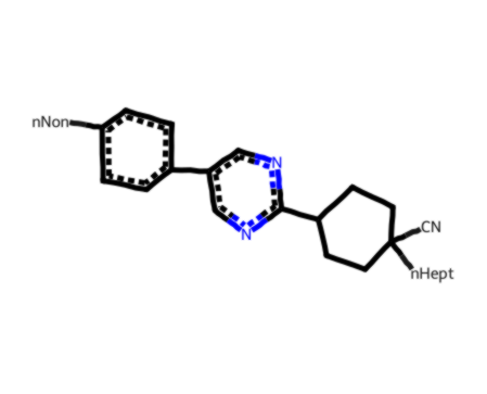 CCCCCCCCCc1ccc(-c2cnc(C3CCC(C#N)(CCCCCCC)CC3)nc2)cc1